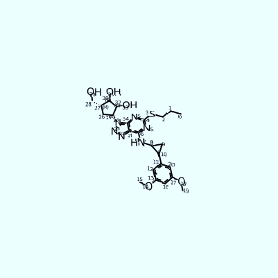 CCCSc1nc(NC2CC2c2cc(OC)cc(OC)c2)c2nnn([C@@H]3C[C@H](CO)[C@@H](O)[C@H]3O)c2n1